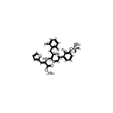 CC(C)(C)OC(=O)/C(=C/c1ccco1)Nc1ncc(-c2cccc(O[Si](C)(C)C(C)(C)C)c2F)nc1Cc1c(F)cccc1F